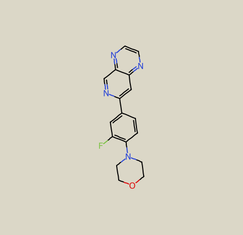 Fc1cc(-c2cc3nccnc3cn2)ccc1N1CCOCC1